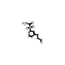 NC(=O)S(=O)(=O)c1cc([CH]CC=O)ccn1